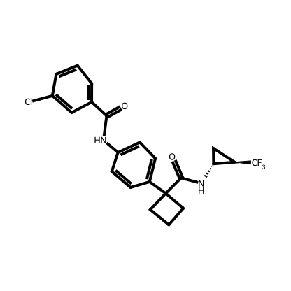 O=C(Nc1ccc(C2(C(=O)N[C@@H]3C[C@H]3C(F)(F)F)CCC2)cc1)c1cccc(Cl)c1